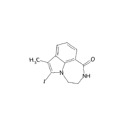 Cc1c(I)n2c3c(cccc13)C(=O)NCC2